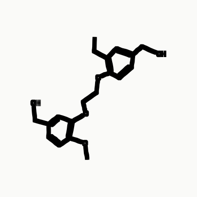 CCc1cc(CO)ccc1OCCOc1cc(CO)ccc1OC